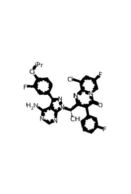 CC(C)Oc1ccc(-c2nn([C@@H](C)c3nc4c(Cl)cc(F)cn4c(=O)c3-c3cccc(F)c3)c3ncnc(N)c23)cc1F